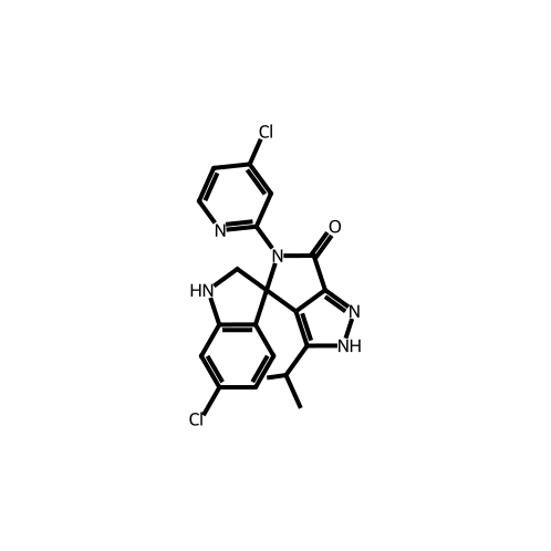 CC(C)c1[nH]nc2c1C1(CNc3cc(Cl)ccc31)N(c1cc(Cl)ccn1)C2=O